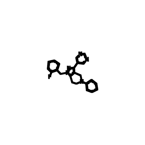 Fc1ccccc1Cn1nc(-c2cncnc2)c2c1CCN(c1ccccc1)C2